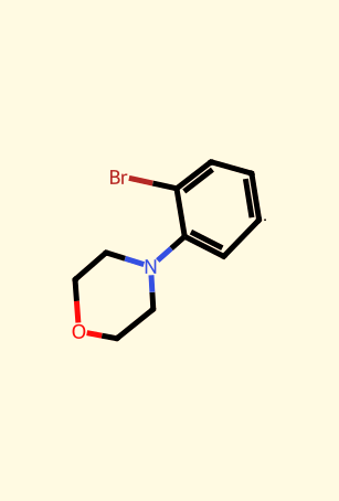 Brc1cc[c]cc1N1CCOCC1